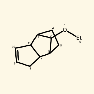 CCOC1C2CCC1C1CC=CC12